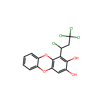 Oc1cc2c(c(C(Cl)CC(Cl)(Cl)Cl)c1O)Oc1ccccc1O2